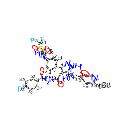 C[C@H](Oc1cc(-c2n[nH]c(Nc3cc(C(C)(C)C)no3)c2C(N)=O)ccc1NS(=O)(=O)C(F)F)c1ccc(F)cc1